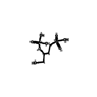 O=P(O)(O)OC(CO)CCS(=O)(=O)O